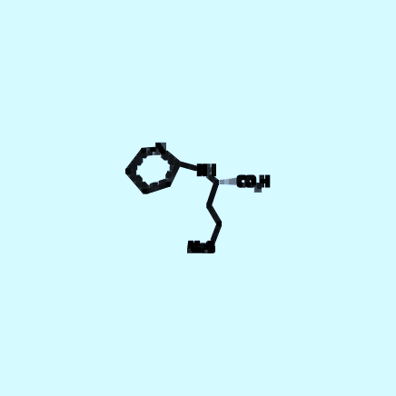 CSCC[C@H](Nc1ccccn1)C(=O)O